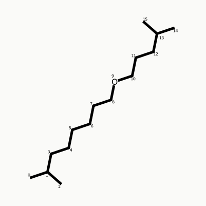 C[C](C)CCCCCCOCCCC(C)C